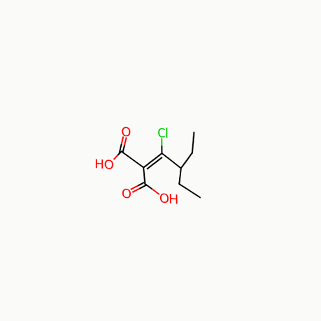 CCC(CC)C(Cl)=C(C(=O)O)C(=O)O